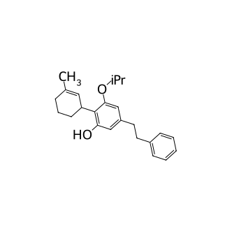 CC1=CC(c2c(O)cc(CCc3ccccc3)cc2OC(C)C)CCC1